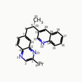 CC(C)c1cnc2ccc(C[C@H](C)c3cnc4ccccc4c3)cc2n1